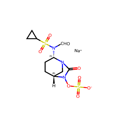 O=CN([C@H]1CC[C@@H]2CN1C(=O)N2OS(=O)(=O)[O-])S(=O)(=O)C1CC1.[Na+]